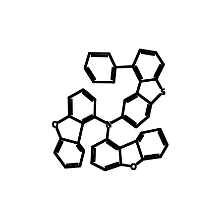 c1ccc(-c2cccc3sc4ccc(N(c5cccc6oc7ccccc7c56)c5cccc6oc7ccccc7c56)cc4c23)cc1